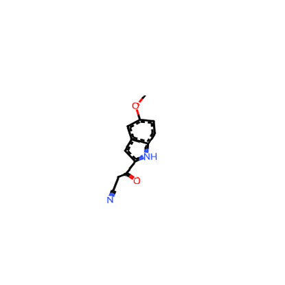 COc1ccc2[nH]c(C(=O)CC#N)cc2c1